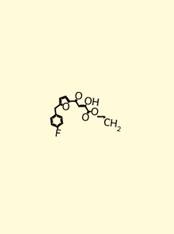 C=CCOC(=O)/C(O)=C/C(=O)c1ccc(Cc2ccc(F)cc2)o1